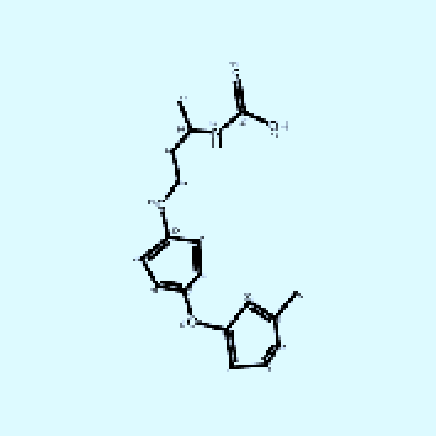 Cc1cccc(Oc2ccc(OCCC(C)NC(O)=S)cc2)c1